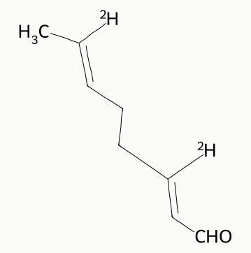 [2H]C(C)=CCCC([2H])=CC=O